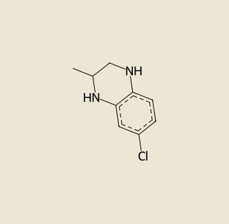 CC1CNc2ccc(Cl)cc2N1